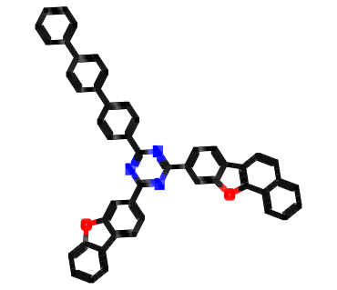 c1ccc(-c2ccc(-c3ccc(-c4nc(-c5ccc6c(c5)oc5ccccc56)nc(-c5ccc6c(c5)oc5c7ccccc7ccc65)n4)cc3)cc2)cc1